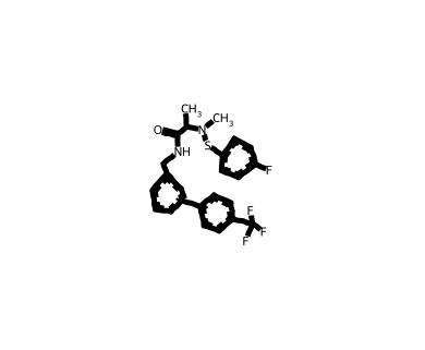 CC(C(=O)NCc1cccc(-c2ccc(C(F)(F)F)cc2)c1)N(C)Sc1ccc(F)cc1